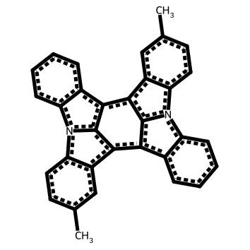 Cc1ccc2c(c1)c1c3c4ccccc4n4c5ccc(C)cc5c(c5c6ccccc6n2c51)c34